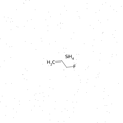 C=CCF.[SiH4]